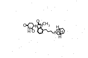 Cn1c(=O)n(C2CCC(=O)NC2=O)c2cccc(CCCCN3C[C@H]4CCC[C@@H](C3)N4)c21